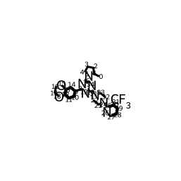 CC1CCCN1c1nc(-c2ccc3c(c2)OCCO3)nc(N2CCN(c3ncccc3C(F)(F)F)CC2)n1